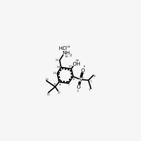 CC(C)S(=O)(=O)c1cc(C(C)(C)C)cc(CN)c1O.Cl